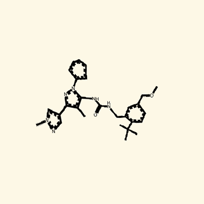 COCc1ccc(C(C)(C)C)c(CNC(=O)Nc2c(C)c(-c3cnn(C)c3)nn2-c2ccccc2)c1